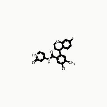 O=C(Nc1cc[nH]c(=O)c1)c1cc(Cl)c(C(F)(F)F)cc1C1CCOc2cc(F)ccc21